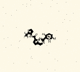 O=C(Nc1ccsc1C(F)(F)F)c1ccc2cnc(N3C[C@@H]4CC[C@H]3CN4)nn12